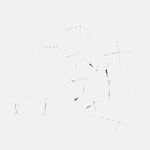 CC(C)C1C(C)CCCC1OC(=O)[C@@]1(O)[C@@H]2OC(C)(C)O[C@@H]2[C@H]2OC(C)(C)O[C@@H]2[C@H]1OCc1ccccc1